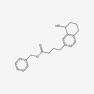 O=C(CCCc1ccc2c(c1)C(O)CCC2)OCc1ccccc1